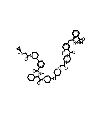 O=C(N[C@@H](C(=O)N1CCC(OC2CCN(CC(=O)N3CCN(C(=O)c4cc(Cc5n[nH]c(=O)c6ccccc56)ccc4F)CC3)CC2)CC1)C1CCCCC1)c1cccc([C@@H]2CCCN(C(=O)CNC3CC3)C2)c1